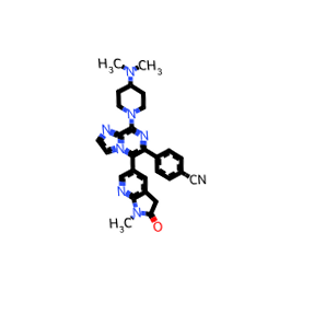 CN1C(=O)Cc2cc(-c3c(-c4ccc(C#N)cc4)nc(N4CCC(N(C)C)CC4)c4nccn34)cnc21